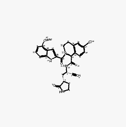 C#C[C@H](C[C@@H]1CCNC1=O)NC(=O)C1c2ccc(Cl)cc2CCN1C(=O)c1cc2c(OC)cccc2[nH]1